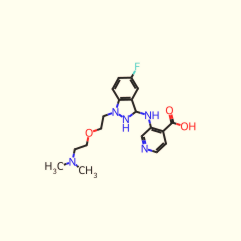 CN(C)CCOCCN1NC(Nc2cnccc2C(=O)O)c2cc(F)ccc21